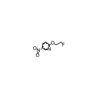 O=[N+]([O-])c1ccc(OCCF)nc1